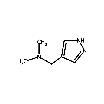 CN(C)Cc1[c]n[nH]c1